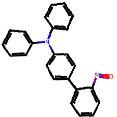 O=Pc1ccccc1-c1ccc(N(c2ccccc2)c2ccccc2)cc1